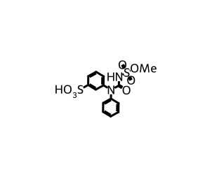 COS(=O)(=O)NC(=O)N(c1ccccc1)c1cccc(S(=O)(=O)O)c1